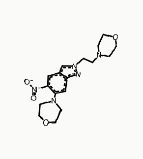 O=[N+]([O-])c1cc2cn(CCN3CCOCC3)nc2cc1N1CCOCC1